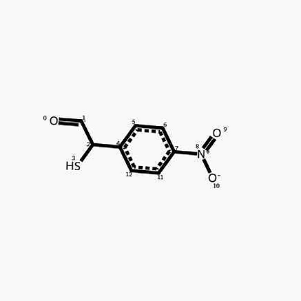 O=[C]C(S)c1ccc([N+](=O)[O-])cc1